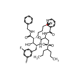 CCCC(CCC)S(=O)(=O)CC(NC(=O)c1cccnc1)C(=O)N[C@@H](Cc1cc(F)cc(F)c1)[C@@H](O)[C@@H](OCCCC#N)C(=O)NCc1ccccc1